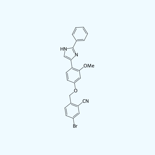 COc1cc(OCc2ccc(Br)cc2C#N)ccc1-c1c[nH]c(-c2ccccc2)n1